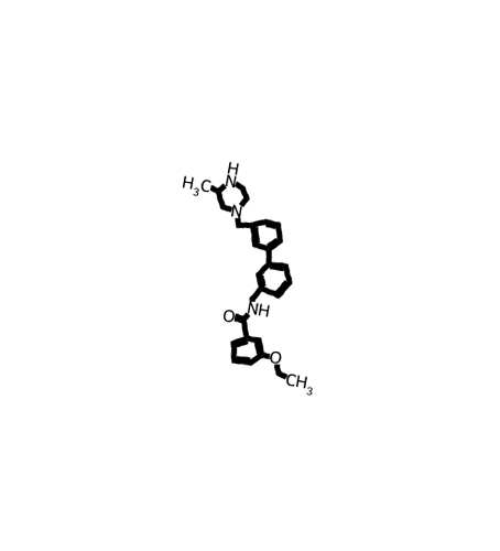 CCOc1cccc(C(=O)NCc2cccc(-c3cccc(CN4CCNC(C)C4)c3)c2)c1